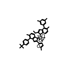 CCC1=Cc2c(ccc(C)c2-c2cc(C)cc(C)c2)[CH]1[Zr]([Cl])([Cl])([CH]1C(c2ccc(C)o2)=Cc2c1ccc(C)c2-c1ccc(C(C)(C)C)cc1)=[Si](C)C